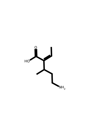 CC=C(C(=O)O)C(C)CCN